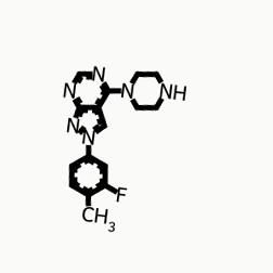 Cc1ccc(-n2cc3c(N4CCNCC4)ncnc3n2)cc1F